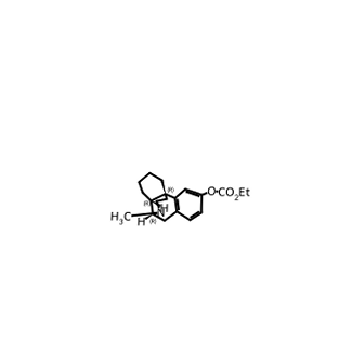 CCOC(=O)Oc1ccc2c(c1)[C@@]13CCCC[C@H]1[C@@H](C2)N(C)CC3